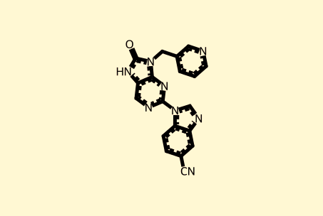 N#Cc1ccc2c(c1)ncn2-c1ncc2[nH]c(=O)n(Cc3cccnc3)c2n1